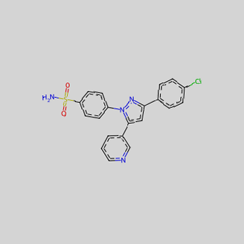 NS(=O)(=O)c1ccc(-n2nc(-c3ccc(Cl)cc3)cc2-c2cccnc2)cc1